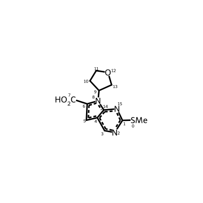 CSc1ncc2cc(C(=O)O)n(C3CCOC3)c2n1